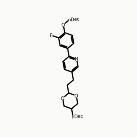 CCCCCCCCCCOc1ccc(-c2ccc(CCC3OCC(CCCCCCCCCC)CO3)cn2)cc1F